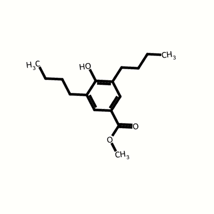 CCCCc1cc(C(=O)OC)cc(CCCC)c1O